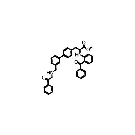 COC(=O)C(Cc1ccc(-c2cccc(CNCC(=O)c3ccccc3)c2)cc1)Nc1ccccc1C(=O)c1ccccc1